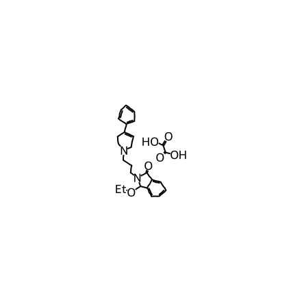 CCOC1c2ccccc2C(=O)N1CCCN1CC=C(c2ccccc2)CC1.O=C(O)C(=O)O